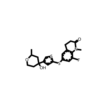 CC1CC(O)(c2csc(Sc3cc(F)c4c(c3)CCC(=O)N4C)c2)CCO1